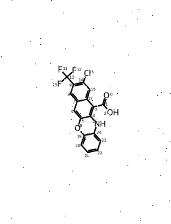 O=C(O)c1c2c(cc3cc(C(F)(F)F)c(Cl)cc13)Oc1ccccc1N2